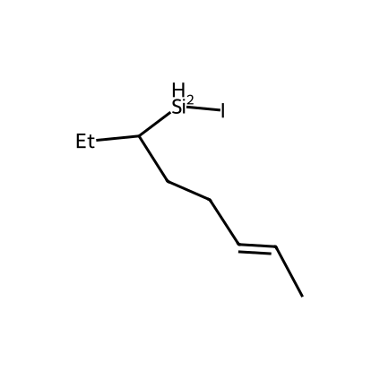 CC=CCCC(CC)[SiH2]I